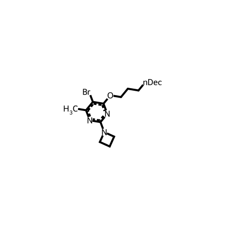 CCCCCCCCCCCCCOc1nc(N2CCC2)nc(C)c1Br